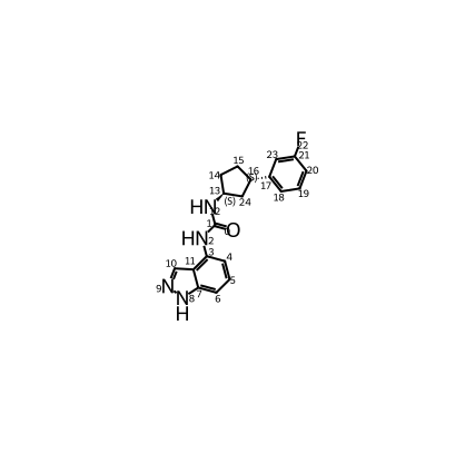 O=C(Nc1cccc2[nH]ncc12)N[C@H]1CC[C@H](c2cccc(F)c2)C1